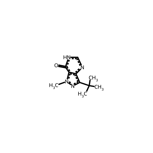 Cn1nc(C(C)(C)C)c2nc[nH]c(=O)c21